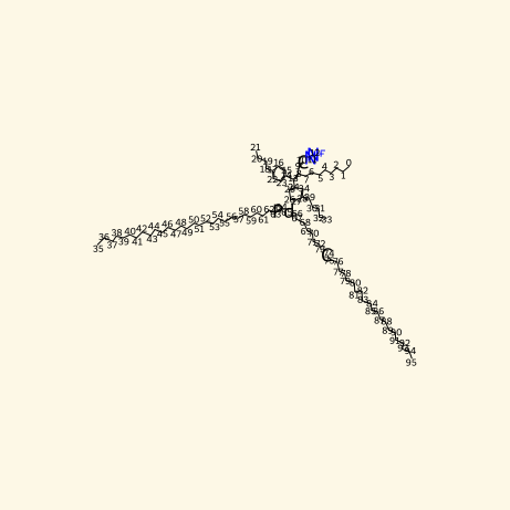 CCCCCCCCC(C=C=[N+]=[N-])=C(c1ccc(CCCC)cc1)c1cccc(CCCCC)c1.CCCCCCCCCCCCCCCCCCCCCCCCCCCCC[CH2][Pd][CH2]CCCCCCCCCCCCCCCCCCCCCCCCCCCCC